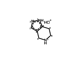 Cl.c1n[nH]c2c1CNCC2